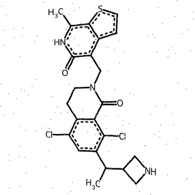 Cc1[nH]c(=O)c(CN2CCc3c(Cl)cc(C(C)C4CNC4)c(Cl)c3C2=O)c2ccsc12